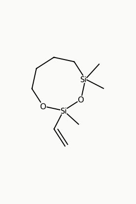 C=C[Si]1(C)OCCCC[Si](C)(C)O1